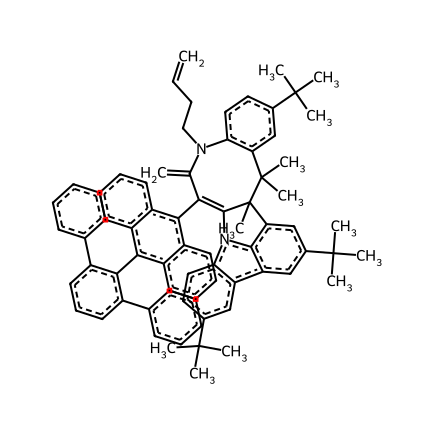 C=CCCN1C(=C)/C(c2c3ccccc3c(-c3c(-c4ccccc4)cccc3-c3ccccc3)c3ccccc23)=C2/n3c4ccc(C(C)(C)C)cc4c4cc(C(C)(C)C)cc(c43)C2(C)C(C)(C)c2cc(C(C)(C)C)ccc21